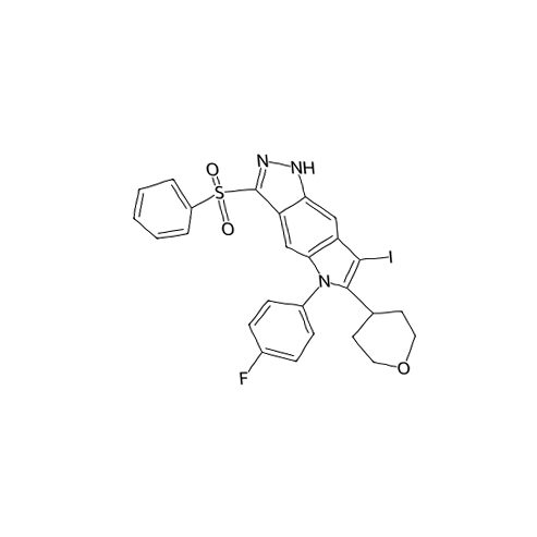 O=S(=O)(c1ccccc1)c1n[nH]c2cc3c(I)c(C4CCOCC4)n(-c4ccc(F)cc4)c3cc12